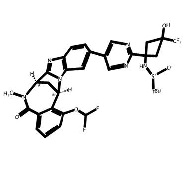 CN1C(=O)c2cccc(OC(F)F)c2[C@H]2C[C@@H]1c1nc3ccc(-c4cnc(C5(N[S+]([O-])C(C)(C)C)CC(O)(C(F)(F)F)C5)nc4)cc3n12